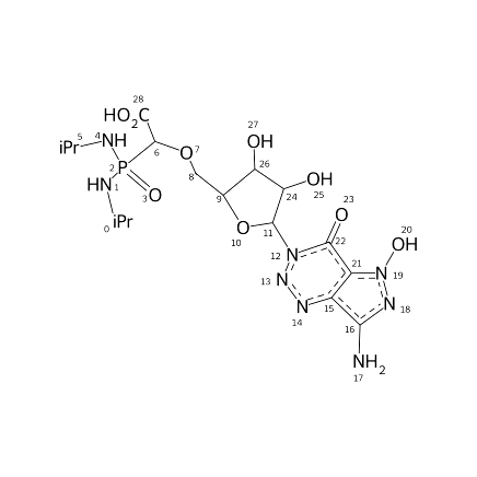 CC(C)NP(=O)(NC(C)C)C(OCC1OC(n2nnc3c(N)nn(O)c3c2=O)C(O)C1O)C(=O)O